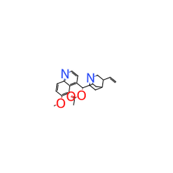 C=CC1CN2CCC1CC2[C@H](OC(C)=O)c1ccnc2ccc(OC)cc12